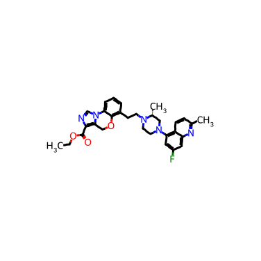 CCOC(=O)c1ncn2c1COc1c(CCN3CCN(c4cc(F)cc5nc(C)ccc45)C[C@H]3C)cccc1-2